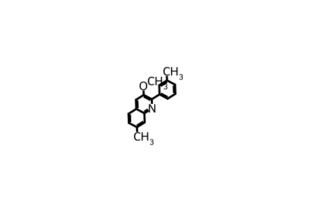 COc1cc2ccc(C)cc2nc1-c1cccc(C)c1